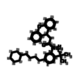 CC(C)(C)c1ccc(CCCCC2CCCCC2)cc1NC(=O)CC1c2ccccc2Oc2ccccc21